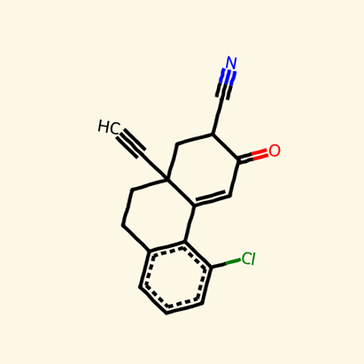 C#CC12CCc3cccc(Cl)c3C1=CC(=O)C(C#N)C2